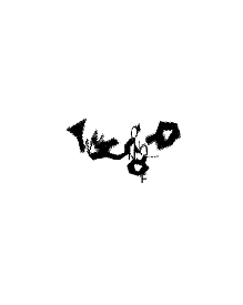 COc1cc(Cc2cn(CC3CC3)nc2C)n(-c2ccc(F)cc2[C@@H](C)OCc2ccccc2)n1